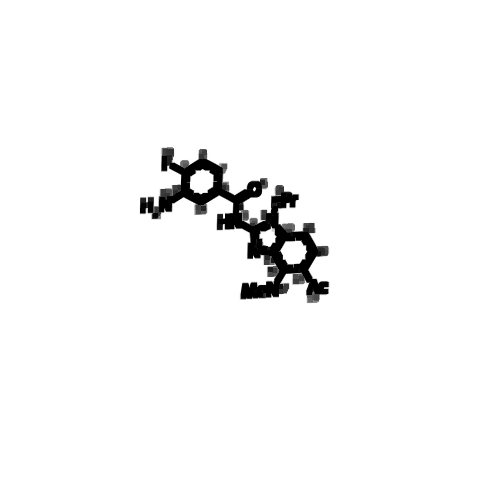 CCCn1c(NC(=O)c2ccc(F)c(N)c2)nc2c(NC)c(C(C)=O)ccc21